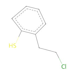 Sc1ccccc1CCCl